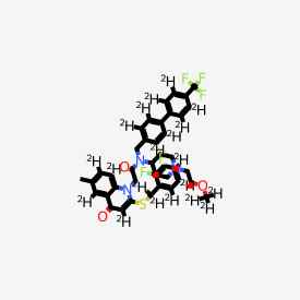 [2H]c1c([2H])c(F)c(F)c(C([2H])([2H])Sc2c([2H])c(=O)c3c([2H])c(C)c([2H])c([2H])c3n2CC(=O)N(Cc2c([2H])c([2H])c(-c3c([2H])c([2H])c(C(F)(F)F)c([2H])c3[2H])c([2H])c2[2H])C2CCN(CCOC([2H])([2H])[2H])CC2)c1[2H]